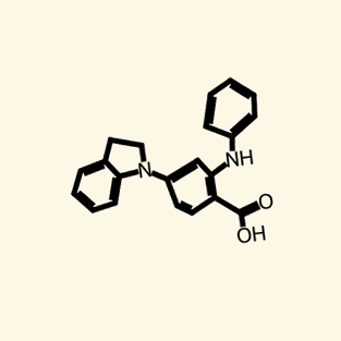 O=C(O)c1ccc(N2CCc3ccccc32)cc1Nc1ccccc1